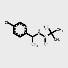 C[C@H](N[S+]([O-])C(C)(C)C)c1ccc(Cl)cn1